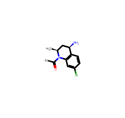 CCC(=O)N1c2cc(Br)ccc2[C@H](N)C[C@@H]1C